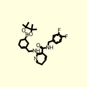 CC1(C)OB(C2CCC=C(CNC3=C(C(=O)NCc4ccc(F)c(F)c4)C=CCC=N3)C2)OC1(C)C